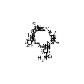 CCn1nc(C)c2c1C(=O)Nc1nc3cc(C(N)=O)ccc3n1C/C=C/Cn1c(nc3ccccc31)NC(=O)c1cc(C)nn1CCCCC2